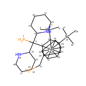 CC(C)(C)[C]12[C]3(C(P)(C4CCCCN4)C4CCCCN4)[C]4(CP)[CH]5[C]1([Si](C)(C)C)[Fe]54321678[CH]2[CH]1[CH]6[CH]7[CH]28